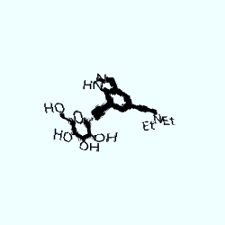 CCN(CC)CC#Cc1cc(C#C[C@H]2O[C@H](CO)[C@@H](O)[C@H](O)[C@@H]2O)c2[nH]ncc2c1